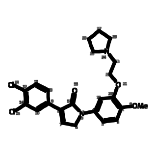 COc1ccc(N2CC=C(c3ccc(Cl)c(Cl)c3)C2=O)cc1OCCN1CCCC1